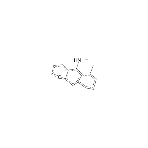 CNc1c2ccccc2cc2cccc(C)c12